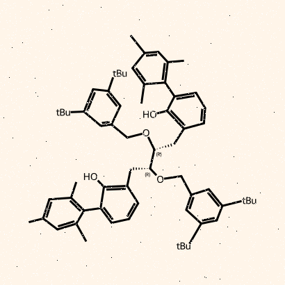 Cc1cc(C)c(-c2cccc(C[C@@H](OCc3cc(C(C)(C)C)cc(C(C)(C)C)c3)[C@@H](Cc3cccc(-c4c(C)cc(C)cc4C)c3O)OCc3cc(C(C)(C)C)cc(C(C)(C)C)c3)c2O)c(C)c1